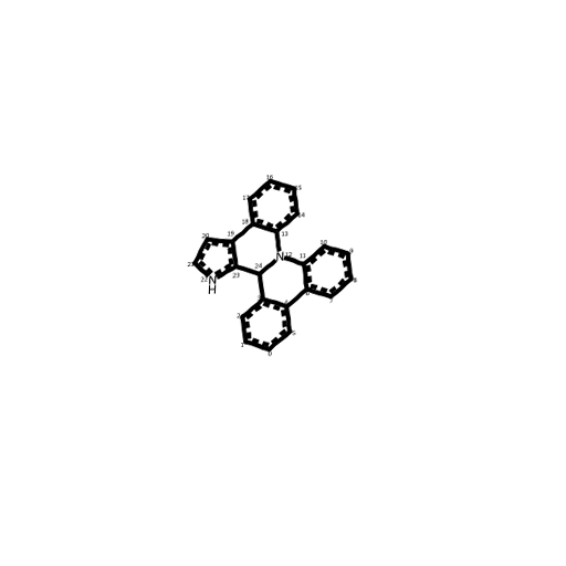 c1ccc2c(c1)-c1ccccc1N1c3ccccc3-c3cc[nH]c3C21